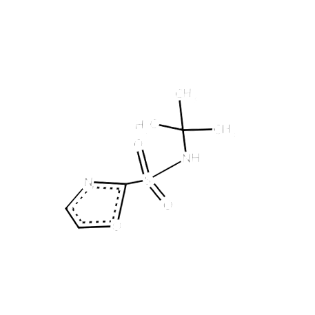 CC(C)(C)NS(=O)(=O)c1ncco1